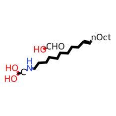 CCCCCCCCC=CCCCCCCCCCNCC(O)O.O=CO